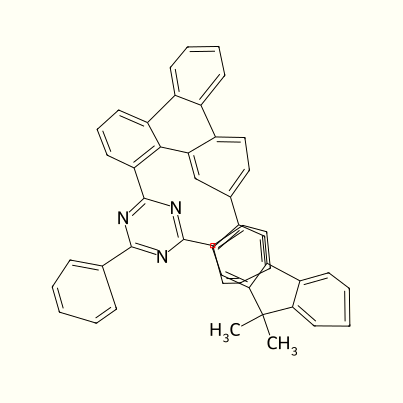 CC1(C)c2ccccc2-c2cc(-c3ccc4c5ccccc5c5cccc(-c6nc(-c7ccccc7)nc(-c7ccccc7)n6)c5c4c3)ccc21